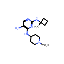 CC1(Nc2ncc(N)c(NC3CCN(C(=O)O)CC3)n2)CCC1